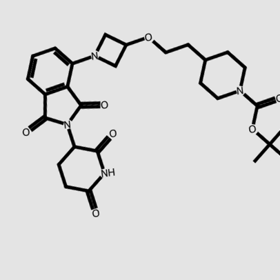 CC(C)(C)OC(=O)N1CCC(CCOC2CN(c3cccc4c3C(=O)N(C3CCC(=O)NC3=O)C4=O)C2)CC1